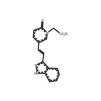 CCOC(=O)Cn1cc(/C=C/c2n[nH]c3ccccc23)ccc1=O